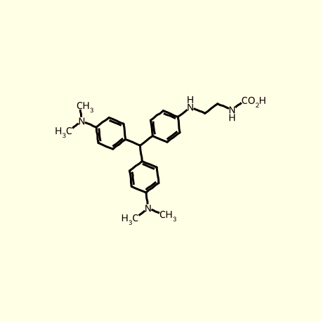 CN(C)c1ccc(C(c2ccc(NCCNC(=O)O)cc2)c2ccc(N(C)C)cc2)cc1